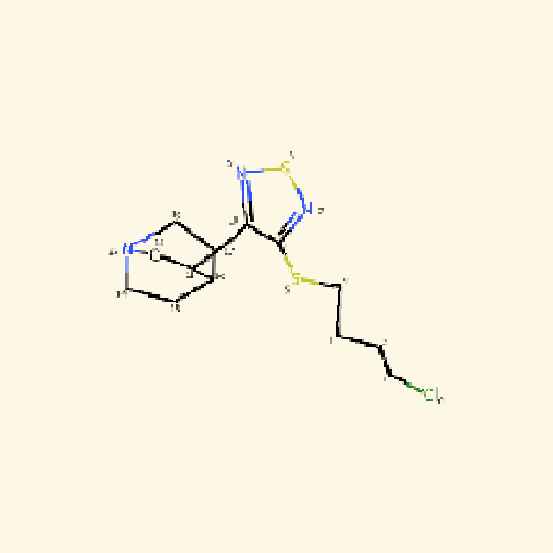 ClCCCCSc1nsnc1C1CN2CCC1CC2